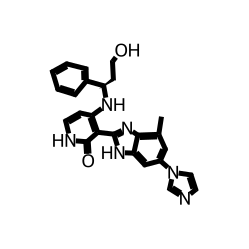 Cc1cc(-n2ccnc2)cc2[nH]c(-c3c(N[C@H](CCO)c4ccccc4)cc[nH]c3=O)nc12